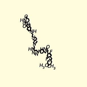 CC1(C)CCN(Cc2cc(F)c(N3CC(=O)NC4(CCN(c5cc(NCCN6CC[C@@]7(CCN(CCCNc8ccc9c(c8)CN(C8CCC(=O)NC8=O)C9=O)C7)C6)ncn5)CC4)C3)cc2F)CC1